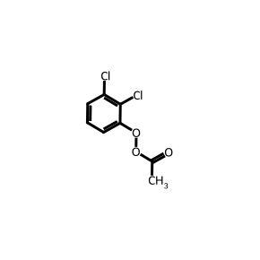 CC(=O)OOc1cccc(Cl)c1Cl